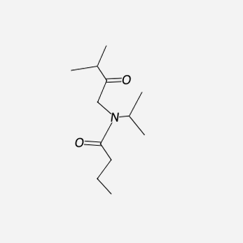 CCCC(=O)N(CC(=O)C(C)C)C(C)C